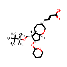 CC(C)(C)[Si](C)(C)OC[C@@H]1[C@H]2CC[C@H](CC=CC(=O)O)CO[C@H]2C[C@H]1OC1CCCCO1